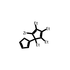 CCC1=[C]([Zr])C(CC)(C2=CC=CC2)C(CC)=C1CC